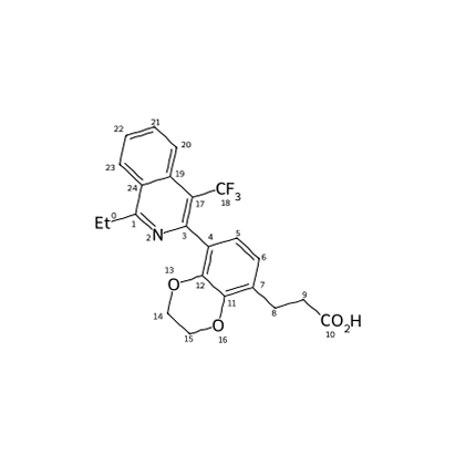 CCc1nc(-c2ccc(CCC(=O)O)c3c2OCCO3)c(C(F)(F)F)c2ccccc12